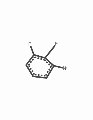 [N]c1cccc(F)c1F